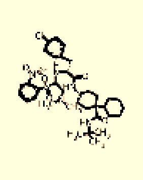 CN(C)CC(N[C@H](Cc1ccc(Cl)cc1)C(=O)NN1CCC(C(=O)NC(C)(C)C)(C2CCCCC2)CC1)S(=O)(=O)c1ccccc1[N+](=O)[O-]